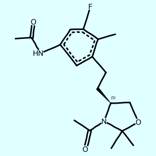 CC(=O)Nc1cc(F)c(C)c(CC[C@H]2COC(C)(C)N2C(C)=O)c1